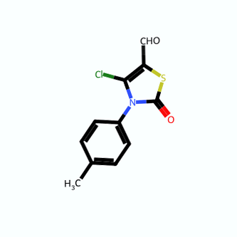 Cc1ccc(-n2c(Cl)c(C=O)sc2=O)cc1